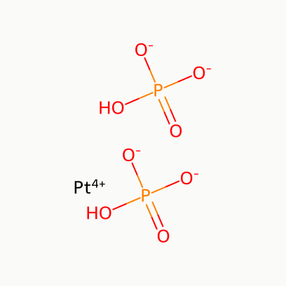 O=P([O-])([O-])O.O=P([O-])([O-])O.[Pt+4]